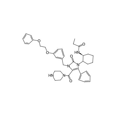 CCC(=O)N[C@H]1CCCCC1n1c(-c2ccccc2)c(C(=O)N2CCNCC2)n(Cc2cccc(OCCOc3ccccc3)c2)c1=O